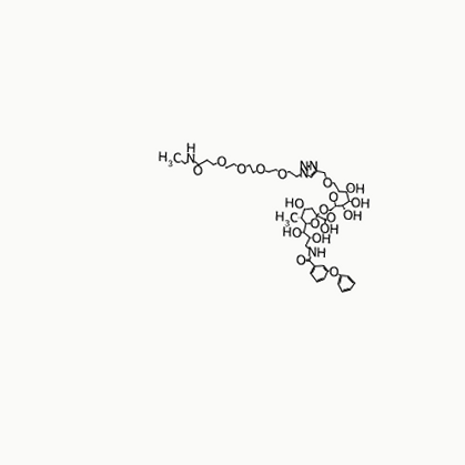 CCNC(=O)CCOCCOCCOCCOCCn1cc(COCC2O[C@H](CO[C@]3(C(=O)O)C[C@H](O)[C@@H](C)[C@H]([C@H](O)[C@H](O)CNC(=O)c4cccc(Oc5ccccc5)c4)O3)[C@H](O)[C@H](O)[C@H]2O)nn1